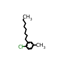 CCCCCCCCc1cc(C)ccc1Cl